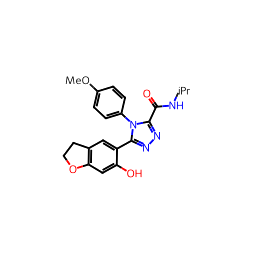 COc1ccc(-n2c(C(=O)NC(C)C)nnc2-c2cc3c(cc2O)OCC3)cc1